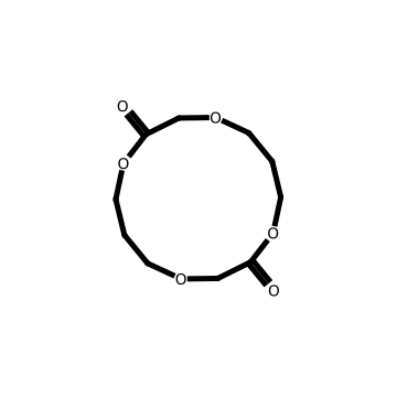 O=C1COCCCOC(=O)COCCCO1